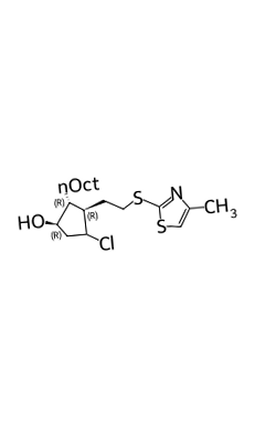 CCCCCCCC[C@H]1[C@H](O)CC(Cl)[C@@H]1CCSc1nc(C)cs1